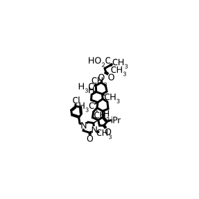 CC(C)C1=C2[C@H]3CCC4[C@@]5(C)CC[C@H](OC(=O)CC(C)(C)C(=O)O)C(C)(C)[C@@H]5CC[C@@]4(C)[C@]3(C)CC[C@@]2(C2CN(Cc3ccc(Cl)cc3)CC(=O)N2C)CC1=O